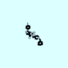 O=c1c2cnn(-c3ccc(F)cc3)c2ncn1CC1(O)CCN(Cc2ccccc2)CC1